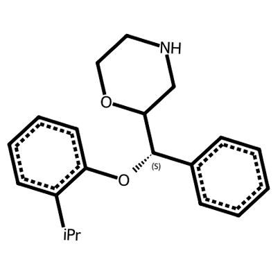 CC(C)c1ccccc1O[C@@H](c1ccccc1)C1CNCCO1